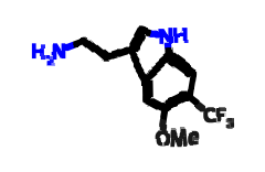 COc1cc2c(CCN)c[nH]c2cc1C(F)(F)F